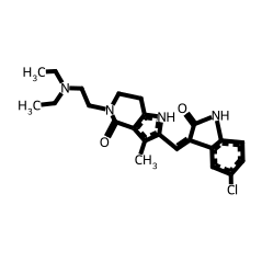 CCN(CC)CCN1CCc2[nH]c(C=C3C(=O)Nc4ccc(Cl)cc43)c(C)c2C1=O